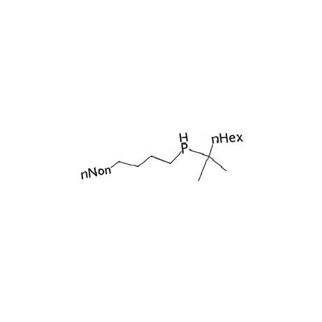 CCCCCCCCCCCCCPC(C)(C)CCCCCC